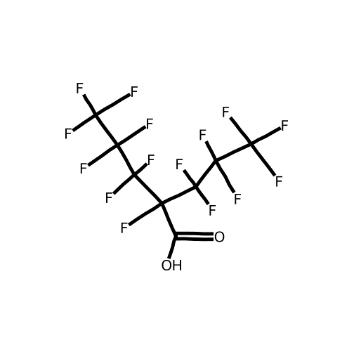 O=C(O)C(F)(C(F)(F)C(F)(F)C(F)(F)F)C(F)(F)C(F)(F)C(F)(F)F